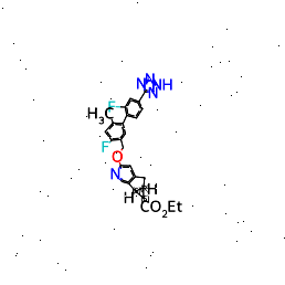 CCOC(=O)[C@H]1[C@@H]2Cc3cc(OCc4cc(-c5ccc(-c6nn[nH]n6)cc5F)c(C)cc4F)ncc3[C@@H]21